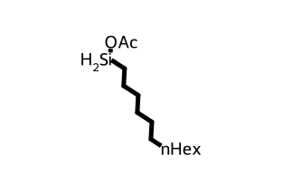 CCCCCCCCCCCC[SiH2]OC(C)=O